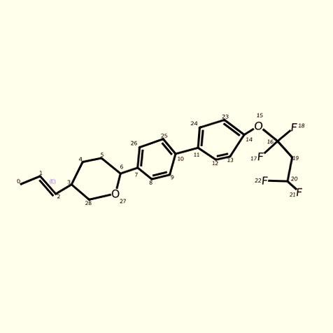 C/C=C/C1CCC(c2ccc(-c3ccc(OC(F)(F)CC(F)F)cc3)cc2)OC1